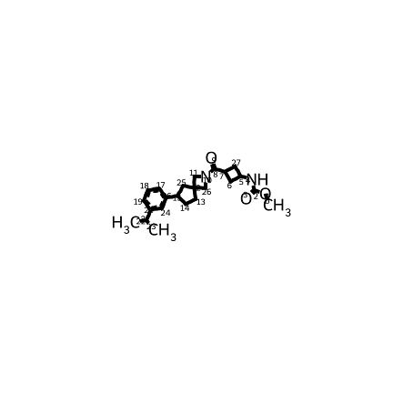 COC(=O)NC1CC(C(=O)N2CC3(CCC(c4cccc(C(C)C)c4)C3)C2)C1